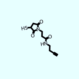 C#CCCNC(=O)CCN1C(=O)CC(S)C1=O